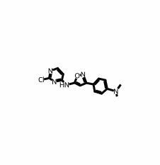 CN(C)c1ccc(-c2cc(Nc3ccnc(Cl)n3)on2)cc1